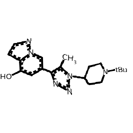 Cc1c(-c2cc(O)c3ccnn3c2)nnn1C1CCN(C(C)(C)C)CC1